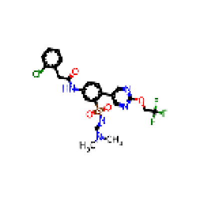 CN(C)C=NS(=O)(=O)c1cc(NC(=O)Cc2ccccc2Cl)ccc1-c1cnc(OCC(F)(F)F)nc1